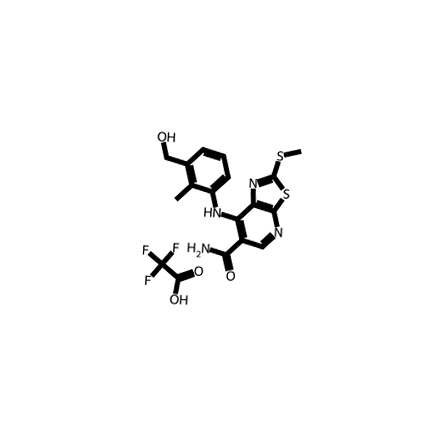 CSc1nc2c(Nc3cccc(CO)c3C)c(C(N)=O)cnc2s1.O=C(O)C(F)(F)F